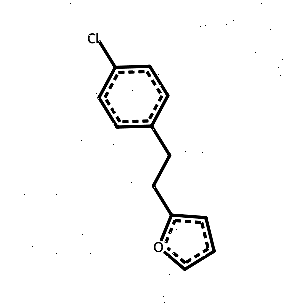 Clc1ccc(CCc2ccco2)cc1